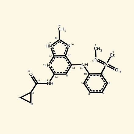 CCS(=O)(=NC)c1ccccc1Nc1cc(NC(=O)C2CC2)nc2[nH]c(C)nc12